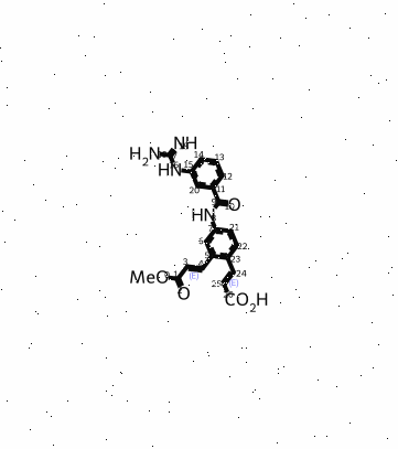 COC(=O)/C=C/c1cc(NC(=O)c2cccc(NC(=N)N)c2)ccc1/C=C/C(=O)O